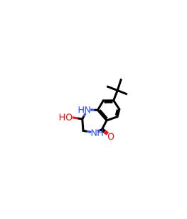 CC(C)(C)c1ccc2c(c1)NC(O)CNC2=O